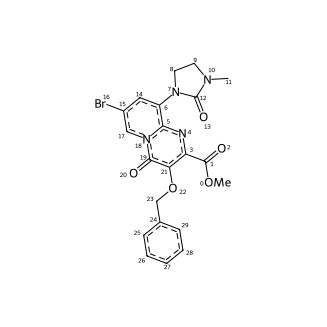 COC(=O)c1nc2c(N3CCN(C)C3=O)cc(Br)cn2c(=O)c1OCc1ccccc1